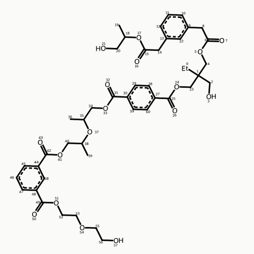 CCC(CO)(COC(=O)Cc1cccc(CC(=O)OC(C)CO)c1)COC(=O)c1ccc(C(=O)OCC(C)OC(C)COC(=O)c2cccc(C(=O)OCCOCCO)c2)cc1